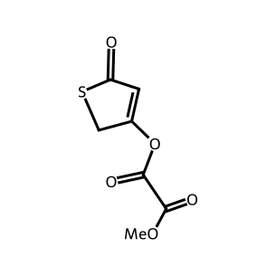 COC(=O)C(=O)OC1=CC(=O)SC1